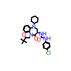 CC(C)(C)C(=O)CN1C(=O)C(NC(=O)Nc2ccc(Cl)cc2)CN(C2CCCCC2)c2ccccc21